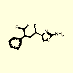 NC1=N[C@H](C(F)CC(c2ccccc2)C(F)F)CO1